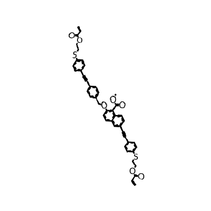 C=CC(=O)OCCSc1ccc(C#Cc2ccc(COc3ccc4cc(C#Cc5ccc(SCCOC(=O)C=C)cc5)ccc4c3C(=O)OC)cc2)cc1